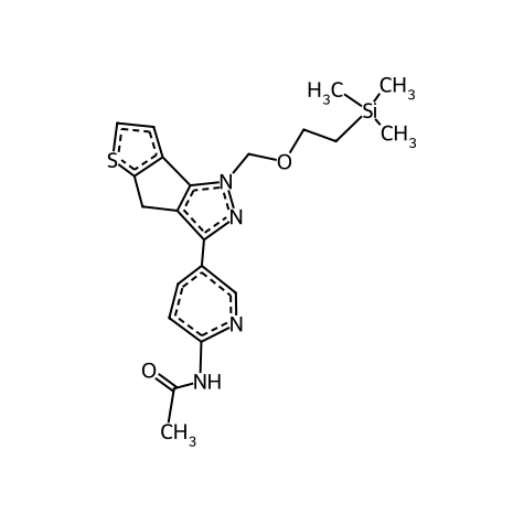 CC(=O)Nc1ccc(-c2nn(COCC[Si](C)(C)C)c3c2Cc2sccc2-3)cn1